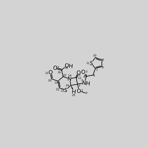 COC1(NC(=O)Cc2cccs2)C(=O)N2C(C(=O)O)C(C=O)=CS[C@H]21